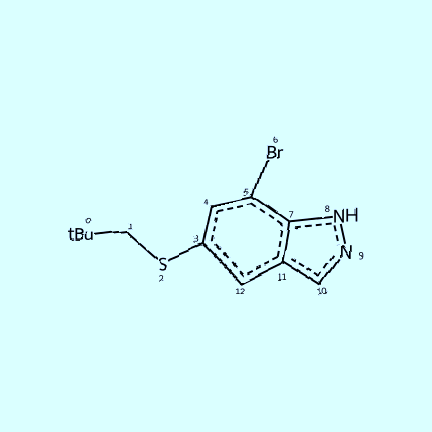 CC(C)(C)CSc1cc(Br)c2[nH]ncc2c1